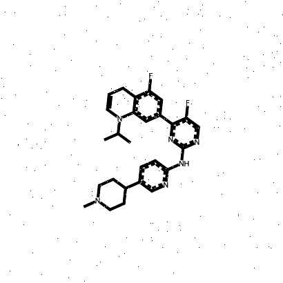 CC(C)N1C=CCc2c(F)cc(-c3nc(Nc4ccc(C5CCN(C)CC5)cn4)ncc3F)cc21